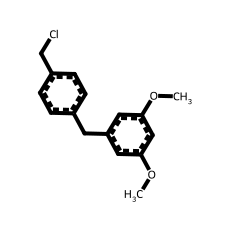 COc1cc(Cc2ccc(CCl)cc2)cc(OC)c1